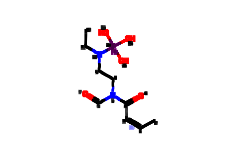 C/C=C\C(=O)N(C=O)CCN(CC)[PH](O)(O)O